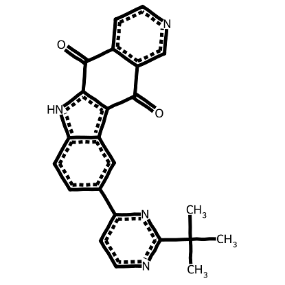 CC(C)(C)c1nccc(-c2ccc3[nH]c4c(c3c2)C(=O)c2cnccc2C4=O)n1